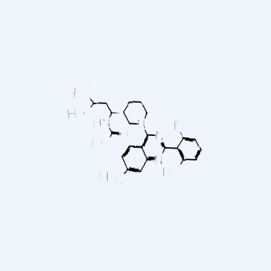 Cc1ccc2c(N3CCC[C@H](C(CC(C)C)NC(=O)O)C3)nc(-c3c(O)cccc3F)nc2c1